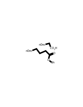 CCCCCCCCCCCC(=O)O.CCCCCCCCCCCCCC(=O)OC(C)C